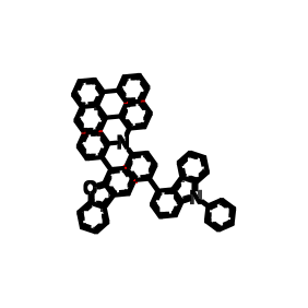 c1ccc(-c2cccc3cccc(-c4ccccc4N(c4ccc(-c5cccc6c5c5ccccc5n6-c5ccccc5)cc4)c4ccccc4-c4cccc5c4oc4ccccc45)c23)cc1